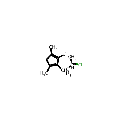 CC1=C(C)C(C)=C(C)C1.C[SiH](C)Cl